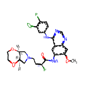 COc1cc2ncnc(Nc3ccc(F)c(Cl)c3)c2cc1NC(=O)/C(F)=C\CN1C[C@@H]2OCCO[C@@H]2C1